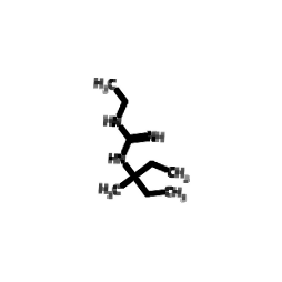 CCNC(=N)NC(C)(CC)CC